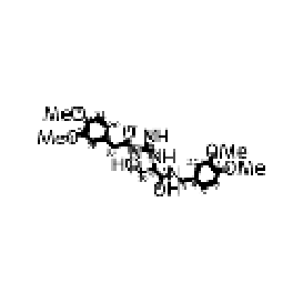 COc1ccc(CNC(=O)[C@@H](CO)NC(=N)NC(=O)Cc2ccc(OC)c(OC)c2)cc1OC